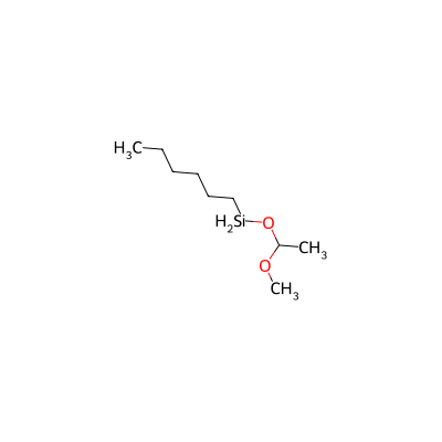 CCCCCC[SiH2]OC(C)OC